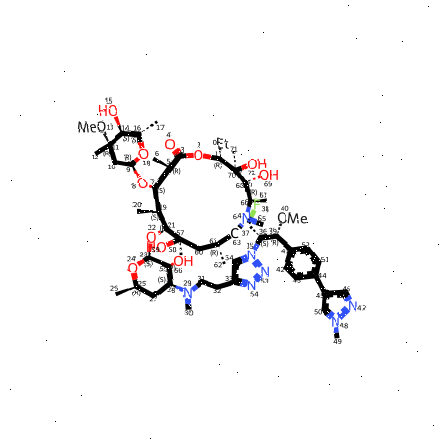 CC[C@H]1OC(=O)[C@H](C)[C@@H](O[C@H]2C[C@@](C)(OC)[C@@H](O)[C@H](C)O2)[C@H](C)[C@@H](O[C@@H]2O[C@H](C)C[C@H](N(C)CCc3cn([C@H](CF)[C@H](OC)c4ccc(-c5cnn(C)c5)cc4)nn3)[C@H]2O)[C@](C)(O)C[C@@H](C)CN(C)[C@H](C)[C@@H](O)[C@]1(C)O